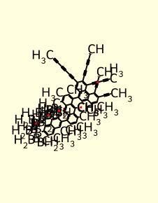 BBB(B)B(B(B)B)c1c(B(B(B)B)B(B)B)c(C)c(C)c2c(C)c(-c3c(C)c(C)c(C)c4c(C)c5c(-c6c(C)c7c(C)c(C)c(C#CC)c(C#CC#C)c7c7c(C#CC#CC)c(C#CC#CC#C)c(C#CC#CC#CC)cc67)c(C)c(C)c(C)c5c(C)c34)c(BB)c(B)c12